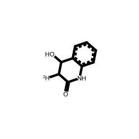 [2H]C1C(=O)Nc2ccccc2C1O